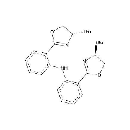 CC(C)(C)[C@H]1COC(c2ccccc2Nc2ccccc2C2=N[C@@H](C(C)(C)C)CO2)=N1